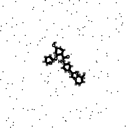 COc1ccc(C(=O)Nc2ccc(-c3cn4cccc(C)c4n3)cc2)c(Oc2ccccn2)c1